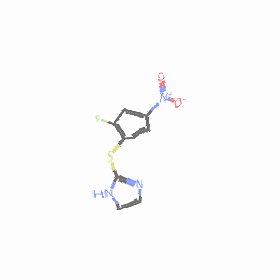 O=[N+]([O-])c1ccc(Sc2ncc[nH]2)c(F)c1